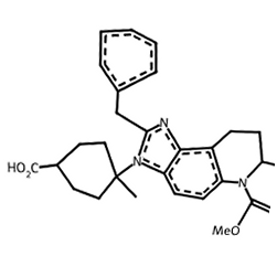 COC(=O)N1c2ccc3c(nc(Cc4ccccc4)n3C3(C)CCC(C(=O)O)CC3)c2CCC1C